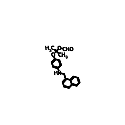 CC(C)(OC=O)Oc1ccc(NCc2cccc3ccccc23)cc1